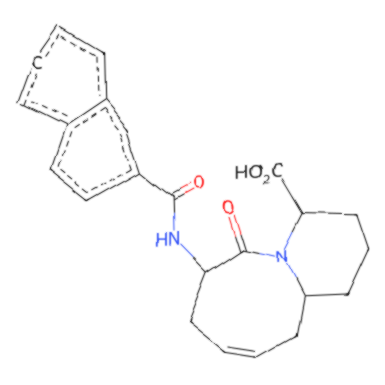 O=C(NC1C/C=C\CC2CCCC(C(=O)O)N2C1=O)c1ccc2ccccc2c1